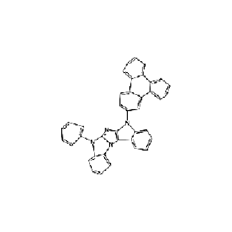 c1ccc(-n2c3ccccc3n3c4c5ccccc5n(-c5ccc6c7ccccc7c7ccccc7c6c5)c4nc23)cc1